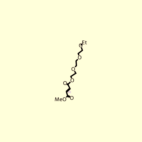 CCOCCOCCOCCOC(=O)/C=C/C(=O)OC